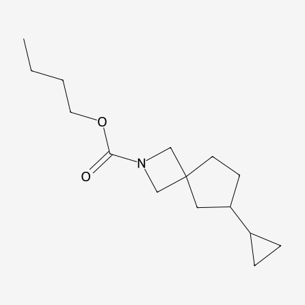 CCCCOC(=O)N1CC2(CCC(C3CC3)C2)C1